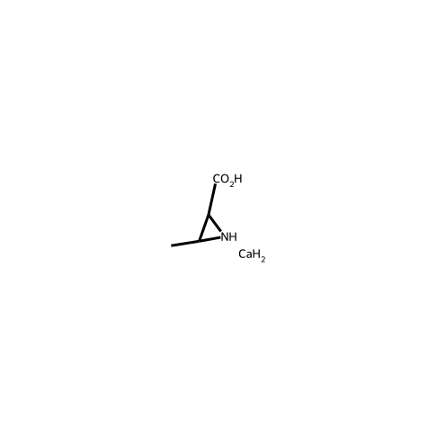 CC1NC1C(=O)O.[CaH2]